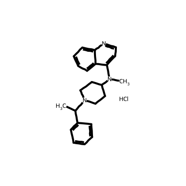 CC(c1ccccc1)N1CCC(N(C)c2ccnc3ccccc23)CC1.Cl